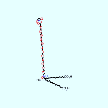 O=C(O)CCCCCCCCCCCCCCC(CCCCCCCCCCCCCCC(=O)O)(C(=O)O)C(=O)NCCOCCOCCOCCOCCOCCOCCOCCOCCOCCOCCOCCOCCC(=O)ON1C(=O)CCC1=O